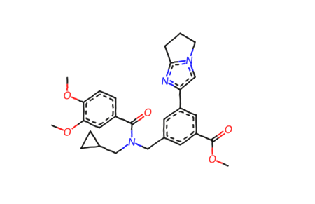 COC(=O)c1cc(CN(CC2CC2)C(=O)c2ccc(OC)c(OC)c2)cc(-c2cn3c(n2)CCC3)c1